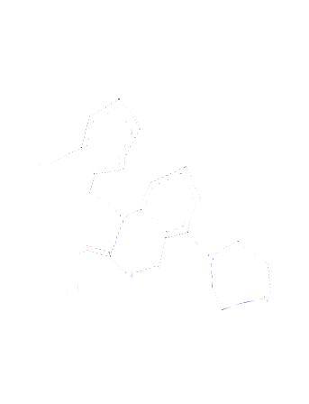 Cl.O=C1NCc2c(N3CCNCC3)cccc2N1Cc1ccccc1Cl